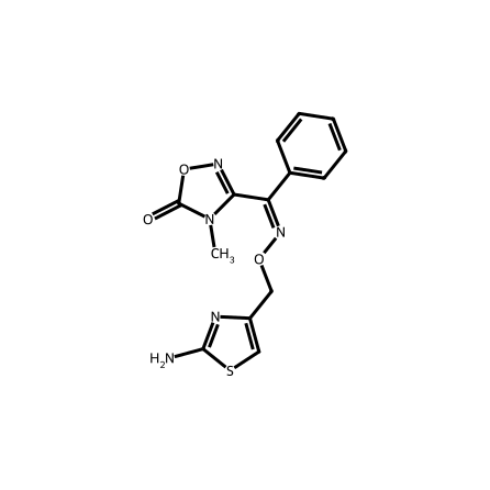 Cn1c(/C(=N\OCc2csc(N)n2)c2ccccc2)noc1=O